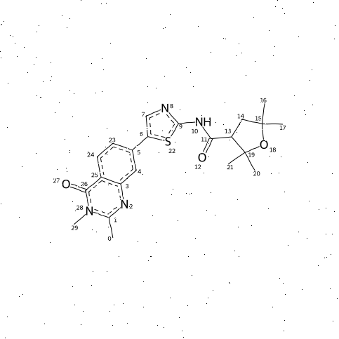 Cc1nc2cc(-c3cnc(NC(=O)C4CC(C)(C)OC4(C)C)s3)ccc2c(=O)n1C